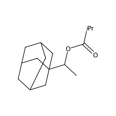 CC(C)C(=O)OC(C)C12CC3CC(CC(C3)C1)C2